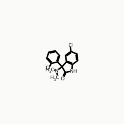 CN(C)C1(c2ccccc2Cl)C(=O)Nc2ccc(Cl)cc21